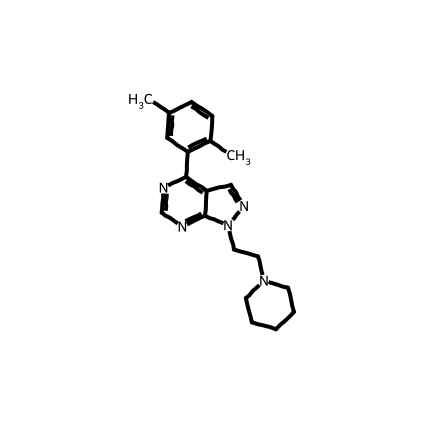 Cc1ccc(C)c(-c2ncnc3c2cnn3CCN2CCCCC2)c1